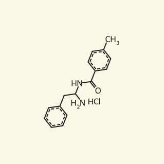 Cc1ccc(C(=O)NC(N)Cc2ccccc2)cc1.Cl